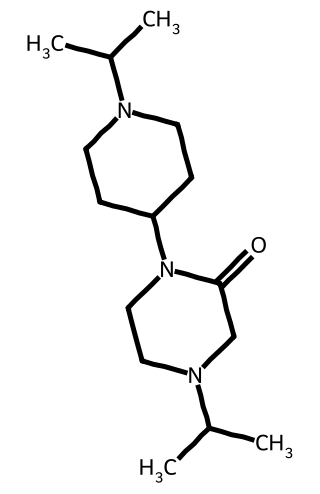 CC(C)N1CCC(N2CCN(C(C)C)CC2=O)CC1